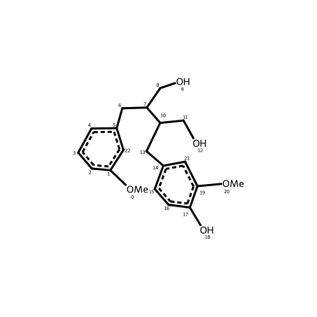 COc1cccc(CC(CO)C(CO)Cc2ccc(O)c(OC)c2)c1